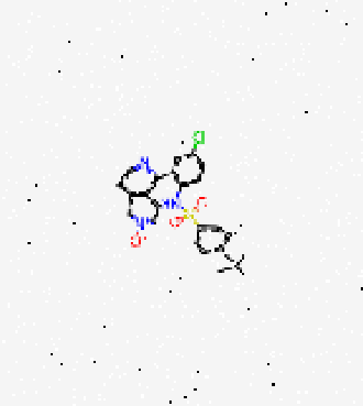 CC(C)(C)c1ccc(S(=O)(=O)Nc2ccc(Cl)cc2-c2nccc3c[n+]([O-])ccc23)cc1